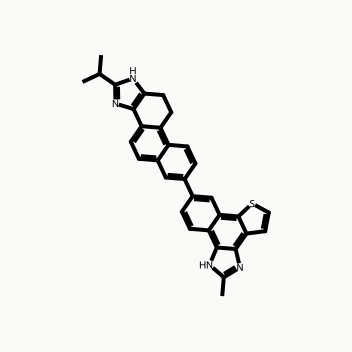 Cc1nc2c3ccsc3c3cc(-c4ccc5c6c(ccc5c4)-c4nc(C(C)C)[nH]c4CC6)ccc3c2[nH]1